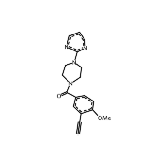 [C]#Cc1cc(C(=O)N2CCN(c3ncccn3)CC2)ccc1OC